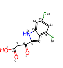 O=C(O)CC(=O)c1cc2c(F)cc(F)cc2[nH]1